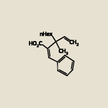 C=CC(C)(CCCCCC)C(=Cc1ccccc1)C(=O)O